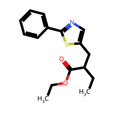 CCOC(=O)C(CC)Cc1cnc(-c2ccccc2)s1